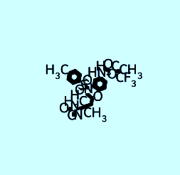 Cc1ccc(S(=O)(=O)N2CC(CC(C)(C)c3noc(=O)[nH]3)Oc3ccc(NC(=O)OC(C)(C)C(F)(F)F)cc32)cc1